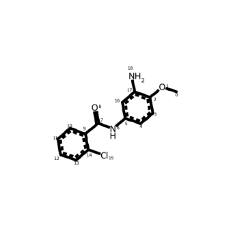 COc1ccc(NC(=O)c2ccccc2Cl)cc1N